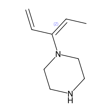 C=C/C(=C/C)N1CCNCC1